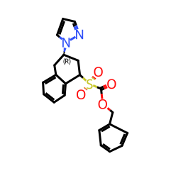 O=C(OCc1ccccc1)S(=O)(=O)C1C[C@H](n2cccn2)Cc2ccccc21